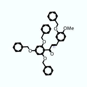 COc1ccc(/C=C/C(=O)c2c(OCc3ccccc3)cc(OCc3ccccc3)cc2OCc2ccccc2)cc1OCc1ccccc1